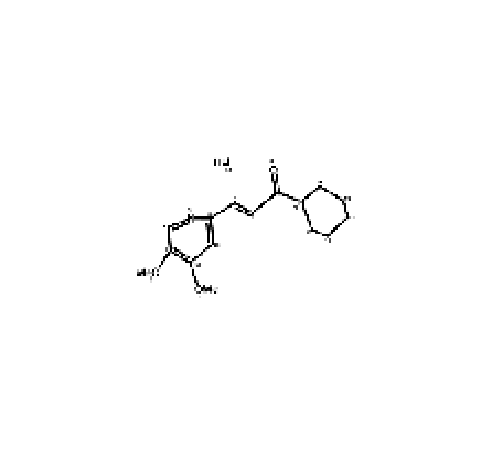 COc1cnc(C=CC(=O)N2CCCCC2)cc1OC.Cl